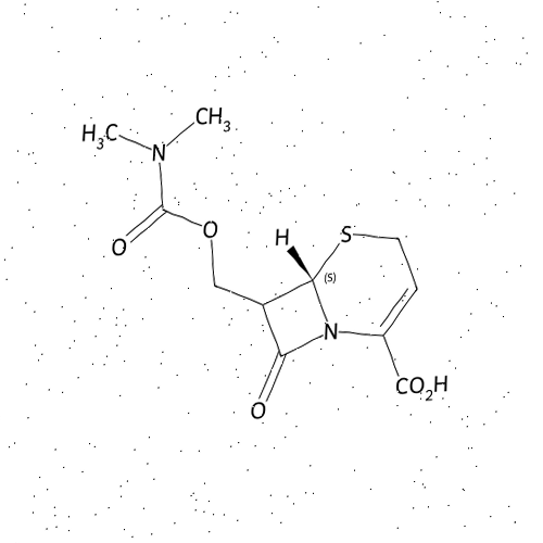 CN(C)C(=O)OCC1C(=O)N2C(C(=O)O)=CCS[C@@H]12